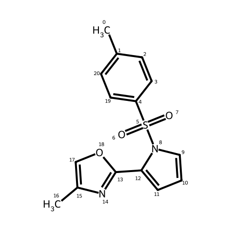 Cc1ccc(S(=O)(=O)n2cccc2-c2nc(C)co2)cc1